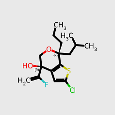 C=C(F)[C@]1(O)CO[C@](CCC)(CC(C)C)c2sc(Cl)cc21